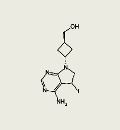 Nc1ncnc2c1C(I)CN2[C@H]1C[C@H](CO)C1